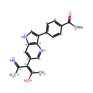 COC(=O)c1ccc(-c2c[nH]c3cc(/C(C(C)=N)=C(\C)O)cnc23)cc1